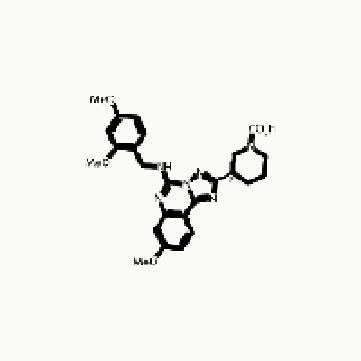 COc1ccc(CNc2nc3cc(OC)ccc3c3nc([C@@H]4CCCN(C(=O)O)C4)nn23)c(OC)c1